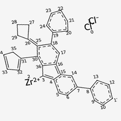 [Cl-].[Cl-].[Zr+2][C]1=c2ccc(-c3ccccc3)cc2=c2cc(-c3ccccc3)c(=C3CCC3)c(C3=CC=CC3)c21